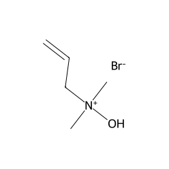 C=CC[N+](C)(C)O.[Br-]